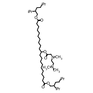 CC(C)CCC(COC(=O)CCCCCCCCCC(CCCCCCCCCC(=O)OCC(CCC(C)C)C(C)C)OC(=O)CN(C)CCN(C)C)C(C)C